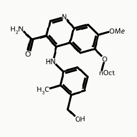 CCCCCCCCOc1cc2c(Nc3cccc(CO)c3C)c(C(N)=O)cnc2cc1OC